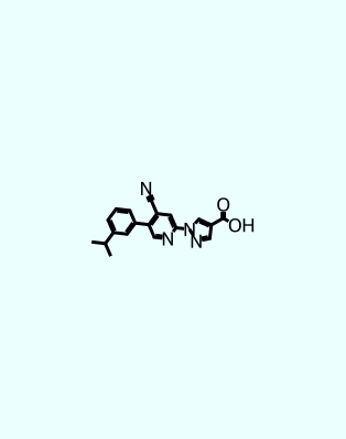 CC(C)c1cccc(-c2cnc(-n3cc(C(=O)O)cn3)cc2C#N)c1